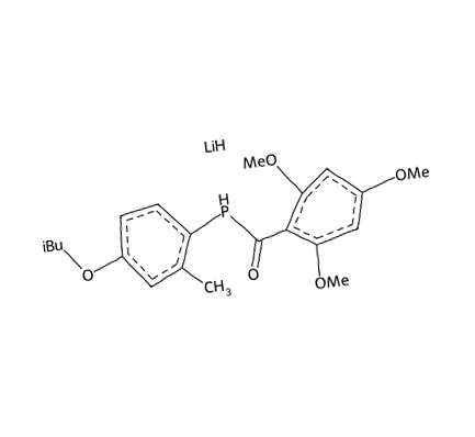 CCC(C)Oc1ccc(PC(=O)c2c(OC)cc(OC)cc2OC)c(C)c1.[LiH]